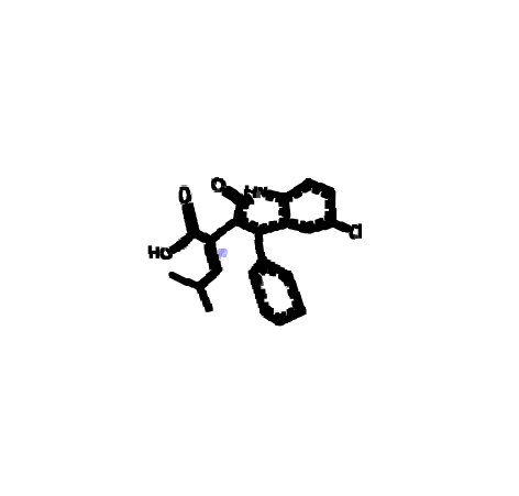 CC(C)/C=C(\C(=O)O)c1c(-c2ccccc2)c2cc(Cl)ccc2[nH]c1=O